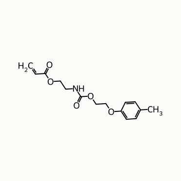 C=CC(=O)OCCNC(=O)OCCOc1ccc(C)cc1